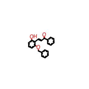 O=C(C=Cc1c(O)cccc1OCc1ccccc1)c1ccccc1